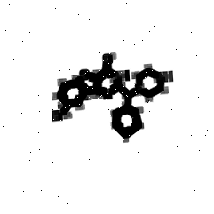 O=c1[nH]c(C(c2ccccc2)N2CCNCC2)nc2c1oc1ccc(Br)cc12